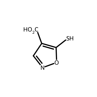 O=C(O)c1cnoc1S